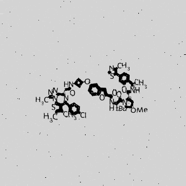 CO[C@H]1C[C@@H](C(=O)N[C@@H](C)c2ccc(-c3scnc3C)cc2)N(C(=O)[C@@H](NC(=O)c2cc3cc(O[C@H]4C[C@@H](NC(=O)C[C@@H]5N=C(c6ccc(Cl)cc6)c6c(sc(C)c6C)-n6c(C)nnc65)C4)ccc3o2)C(C)(C)C)C1